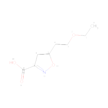 CCOCCC1CC(C(=O)O)=NO1